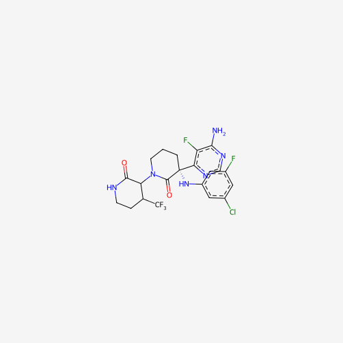 Nc1ncnc([C@]2(Nc3cc(F)cc(Cl)c3)CCCN(C3C(=O)NCCC3C(F)(F)F)C2=O)c1F